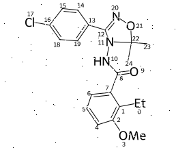 CCc1c(OC)cccc1C(=O)NN1C(c2ccc(Cl)cc2)=NOC1(C)C